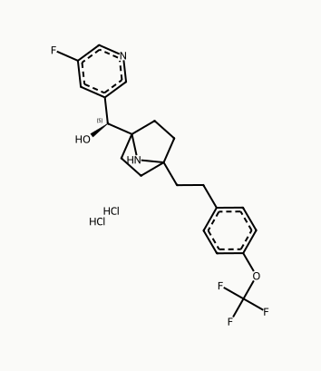 Cl.Cl.O[C@@H](c1cncc(F)c1)C12CCC(CCc3ccc(OC(F)(F)F)cc3)(CC1)N2